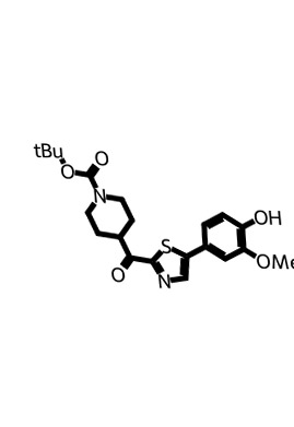 COc1cc(-c2cnc(C(=O)C3CCN(C(=O)OC(C)(C)C)CC3)s2)ccc1O